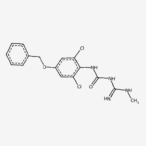 CNC(=N)NC(=O)Nc1c(Cl)cc(OCc2ccccc2)cc1Cl